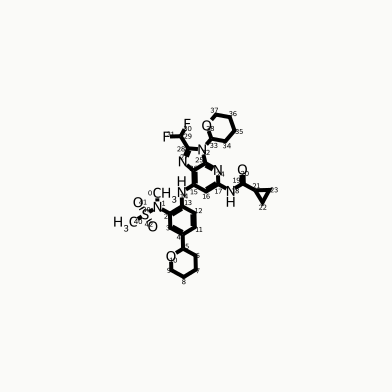 CN(c1cc(C2CCCCO2)ccc1Nc1cc(NC(=O)C2CC2)nc2c1nc(C(F)F)n2C1CCCCO1)S(C)(=O)=O